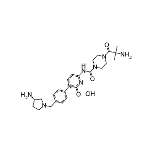 CC(C)(N)C(=O)N1CCN(C(=O)Nc2ccn(-c3ccc(CN4CC[C@@H](N)C4)cc3)c(=O)n2)CC1.Cl